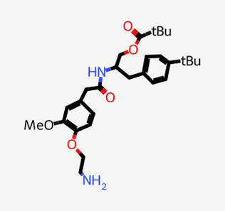 COc1cc(CC(=O)NC(COC(=O)C(C)(C)C)Cc2ccc(C(C)(C)C)cc2)ccc1OCCN